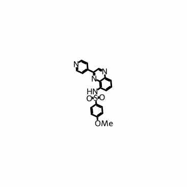 COc1ccc(S(=O)(=O)Nc2cccc3ncc(-c4ccncc4)nc23)cc1